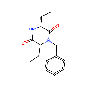 CCC1C(=O)N[C@@H](CC)C(=O)N1Cc1ccccc1